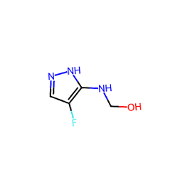 OCNc1[nH]ncc1F